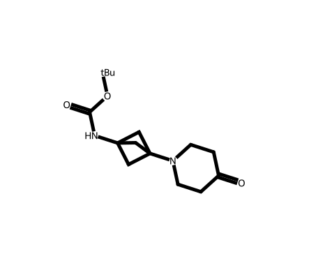 CC(C)(C)OC(=O)NC12CC(N3CCC(=O)CC3)(C1)C2